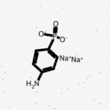 Nc1ccc(P(=O)([O-])[O-])cc1.[Na+].[Na+]